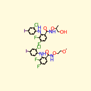 CC(CO)ONC(=O)c1ccc(F)c(F)c1Nc1ccc(I)cc1Cl.COCCONC(=O)c1ccc(F)c(F)c1Nc1ccc(I)cc1Cl